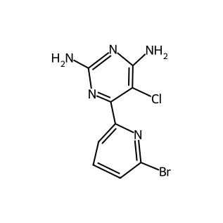 Nc1nc(N)c(Cl)c(-c2cccc(Br)n2)n1